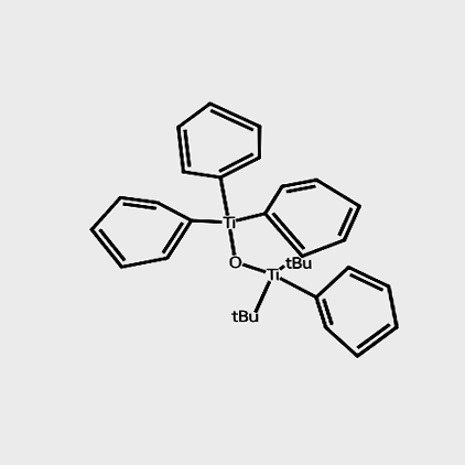 C[C](C)(C)[Ti]([O][Ti]([c]1ccccc1)([c]1ccccc1)[c]1ccccc1)([c]1ccccc1)[C](C)(C)C